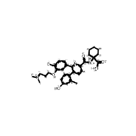 Cc1cc(O)ccc1-c1ccc(C(=O)NC2(C(=O)O)CCCCC2)nc1-c1ccc(Cl)c(OCCCN(C)C)c1